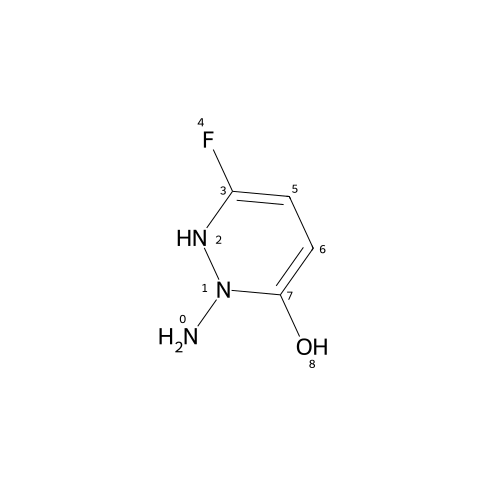 NN1NC(F)=CC=C1O